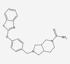 NC(=O)N1CCC2CN(Cc3ccc(Oc4nc5ccccc5s4)cc3)CC2C1